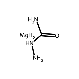 NNC(N)=O.[MgH2]